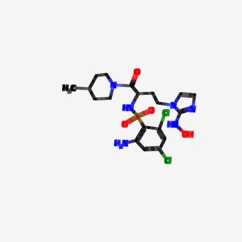 CC1CCN(C(=O)C(CCn2ccnc2NO)NS(=O)(=O)c2c(N)cc(Cl)cc2Cl)CC1